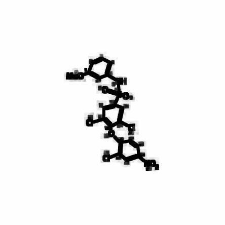 COc1cccc(NS(=O)(=O)c2cc(Cl)c(Oc3ccc([N+](=O)[O-])cc3Cl)c(Cl)c2)c1